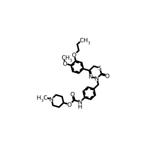 CCCOc1cc(C2=NN(Cc3ccc(NC(=O)OC4CCN(C)CC4)cc3)C(=O)SC2)ccc1OC